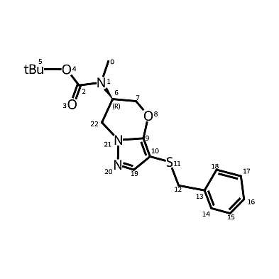 CN(C(=O)OC(C)(C)C)[C@H]1COc2c(SCc3ccccc3)cnn2C1